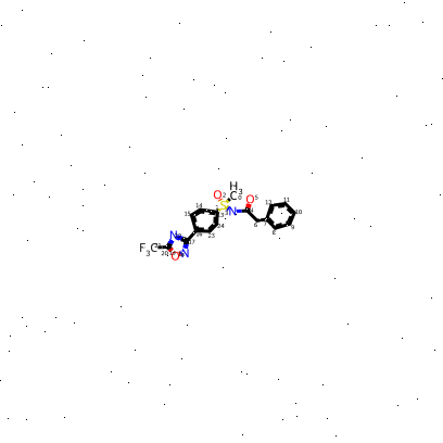 CS(=O)(=NC(=O)Cc1ccccc1)c1ccc(-c2noc(C(F)(F)F)n2)cc1